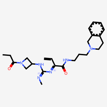 C=C/C(=N\C(=N/C)NC1CN(C(=O)CC)C1)C(=O)NCCCN1CCc2ccccc2C1